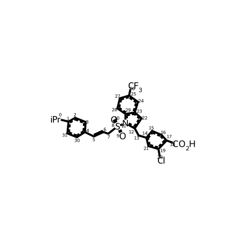 CC(C)c1ccc(C=CCS(=O)(=O)n2c(Cc3ccc(C(=O)O)c(Cl)c3)cc3cc(C(F)(F)F)ccc32)cc1